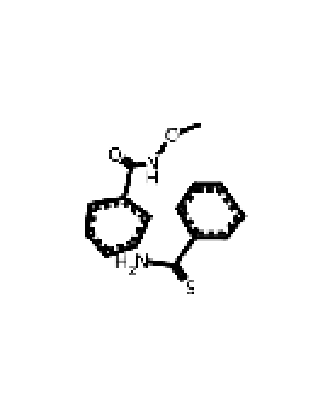 CONC(=O)c1ccccc1.NC(=S)c1ccccc1